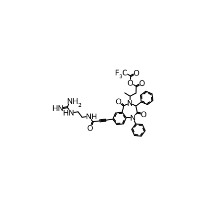 CC(CC(=O)OC(=O)C(F)(F)F)N1C(=O)c2cc(C#CC(=O)NCCNC(=N)N)ccc2N(c2ccccc2)C(=O)C1c1ccccc1